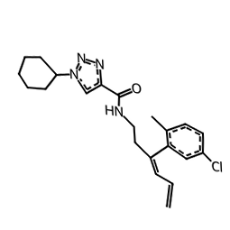 C=C/C=C(/CCNC(=O)c1cn(C2CCCCC2)nn1)c1cc(Cl)ccc1C